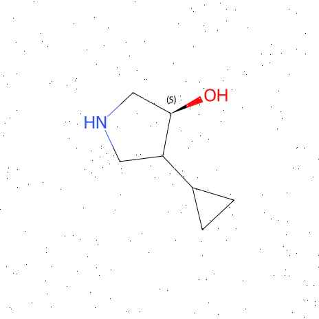 O[C@@H]1CNCC1C1CC1